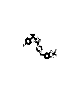 Fc1ccc(C2(c3noc(N4CCN(Cc5ccc6c(c5)OC(F)(F)O6)CC4)n3)CC2)cc1